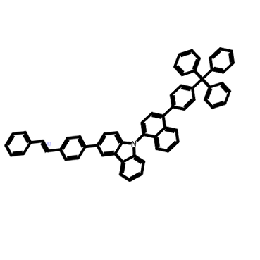 C(=C\c1ccc(-c2ccc3c(c2)c2ccccc2n3-c2ccc(-c3ccc(C(c4ccccc4)(c4ccccc4)c4ccccc4)cc3)c3ccccc23)cc1)/c1ccccc1